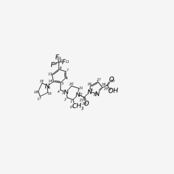 CC1CN(Cc2ccc(C(F)(F)F)cc2N2CCCC2)CCN1C(=O)n1ccc(C(=O)O)n1